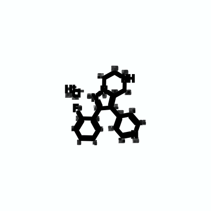 Fc1ccccc1-c1nn2c(c1-c1ccncc1)CNCC2.[Cl-].[H+]